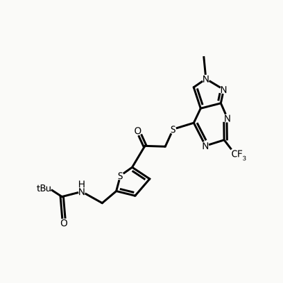 Cn1cc2c(SCC(=O)c3ccc(CNC(=O)C(C)(C)C)s3)nc(C(F)(F)F)nc2n1